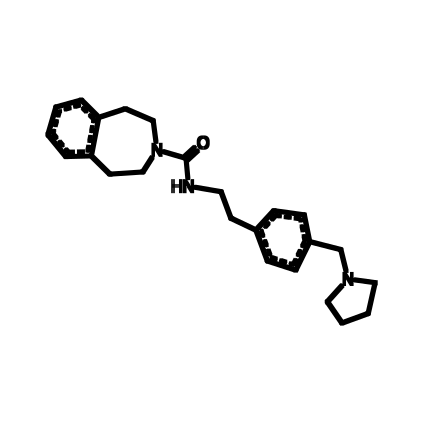 O=C(NCCc1ccc(CN2CCCC2)cc1)N1CCc2ccccc2CC1